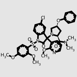 COc1ccc(S(=O)(=O)N2C(=O)C(c3cccnc3OC)(N3C[C@H](Oc4ccccc4)C[C@H]3C(=O)N(C)C)c3cc(Cl)ccc32)c(OC)c1